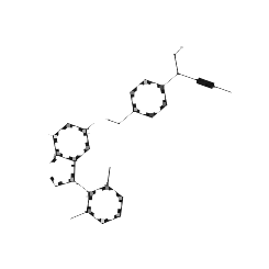 CC#CC(CC(=O)OCC)c1ccc(COc2ccc3scc(-c4c(C)cccc4C)c3c2)cc1